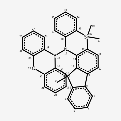 CC1(C)c2ccccc2-c2ccc3c(c21)N(B1c2ccccc2Oc2ccccc21)c1ccccc1[Si]3(C)C